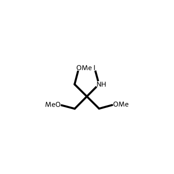 COCC(COC)(COC)NI